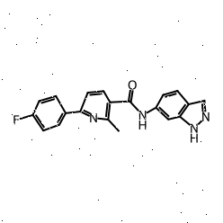 Cc1nc(-c2ccc(F)cc2)ccc1C(=O)Nc1ccc2cn[nH]c2c1